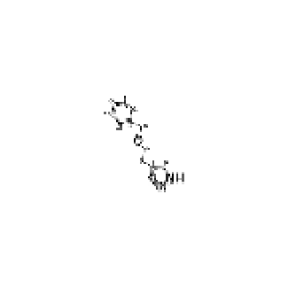 c1ccc(COCCc2c[nH]nn2)cc1